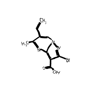 CCc1cn2nc(Br)c(C(=O)O)c2nc1C